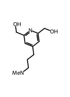 CNCCCc1cc(CO)nc(CO)c1